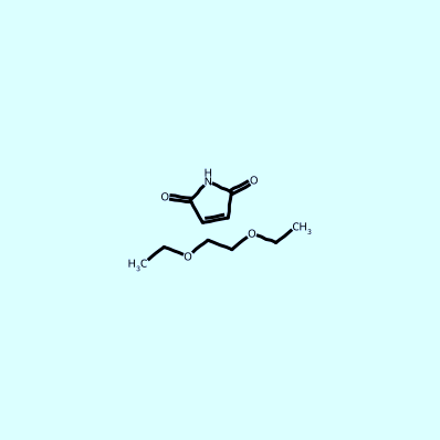 CCOCCOCC.O=C1C=CC(=O)N1